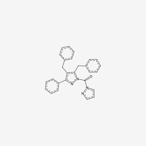 O=C(n1cccn1)n1nc(-c2ccccc2)c(Cc2ccccc2)c1Cc1ccccc1